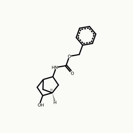 O=C(NC1C[C@@H]2CC1CC2O)OCc1ccccc1